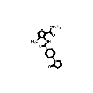 COC(=O)c1scc(C)c1NC(=O)[C@H]1CC[C@H](N2CCCC2=O)CC1